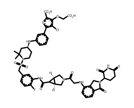 CC1(C)C[C@@H](Nc2cccc(-c3sc(C(=O)O)c(OCC(=O)O)c3Cl)c2)CCN1S(=O)(=O)Cc1ccc(F)c(NC(=O)C2[C@H]3CN(C(=O)CNc4cccc5c4CN(C4CCC(=O)NC4=O)C5=O)C[C@@H]23)c1